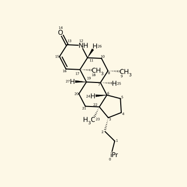 CC(C)CC[C@H]1CC[C@H]2[C@@H]3[C@@H](C)C[C@H]4NC(=O)C=C[C@]4(C)[C@H]3CC[C@]12C